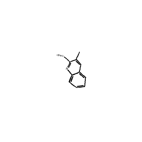 CCCCCc1nc2ccccc2cc1C